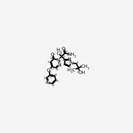 CC(C)(O)Cn1ccc(C(C)(C(N)=O)n2ncc(Oc3cccnc3)cc2=O)n1